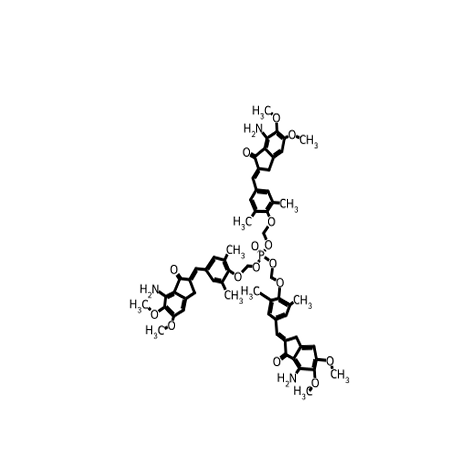 COc1cc2c(c(N)c1OC)C(=O)/C(=C/c1cc(C)c(OCOP(=O)(OCOc3c(C)cc(/C=C4\Cc5cc(OC)c(OC)c(N)c5C4=O)cc3C)OCOc3c(C)cc(/C=C4\Cc5cc(OC)c(OC)c(N)c5C4=O)cc3C)c(C)c1)C2